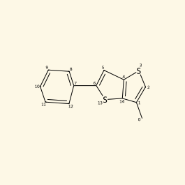 Cc1csc2cc(-c3ccccc3)sc12